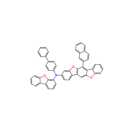 c1ccc(-c2ccc(N(c3ccc4c(c3)oc3c(-c5ccc6ccccc6c5)c5c(cc34)oc3ccccc35)c3cccc4c3oc3ccccc34)cc2)cc1